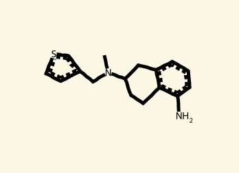 CN(Cc1ccsc1)C1CCc2c(N)cccc2C1